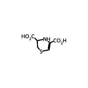 O=C(O)C1=CSCC(C(=O)O)N1